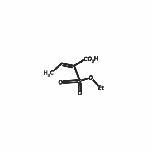 CC=C(C(=O)O)S(=O)(=O)OCC